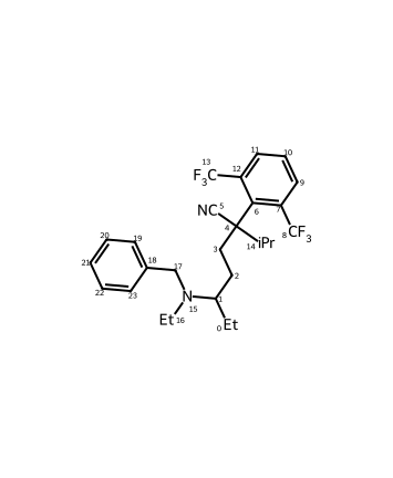 CCC(CCC(C#N)(c1c(C(F)(F)F)cccc1C(F)(F)F)C(C)C)N(CC)Cc1ccccc1